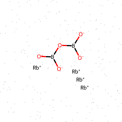 [O-]B([O-])OB([O-])[O-].[Rb+].[Rb+].[Rb+].[Rb+]